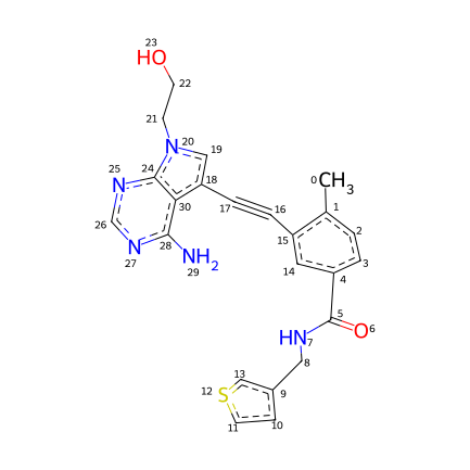 Cc1ccc(C(=O)NCc2ccsc2)cc1C#Cc1cn(CCO)c2ncnc(N)c12